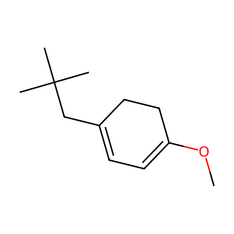 COC1=CC=C(CC(C)(C)C)CC1